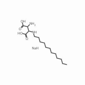 CCCCCCCCCCCCNC(C(=O)O)C(N)C(=O)O.[NaH]